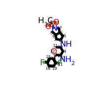 CS(=O)(=O)N1CC2CC(N[C@H]3CO[C@H](c4cc(F)ccc4F)[C@@H](N)C3)CC2C1